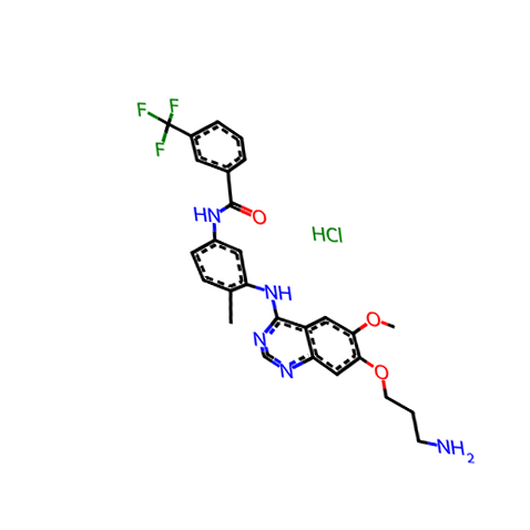 COc1cc2c(Nc3cc(NC(=O)c4cccc(C(F)(F)F)c4)ccc3C)ncnc2cc1OCCCN.Cl